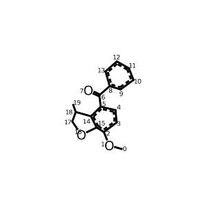 COc1ccc(C(=O)c2ccccc2)c2c1OCC2C